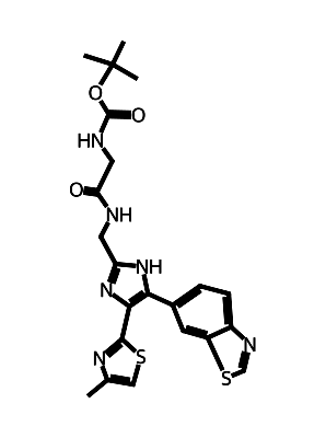 Cc1csc(-c2nc(CNC(=O)CNC(=O)OC(C)(C)C)[nH]c2-c2ccc3ncsc3c2)n1